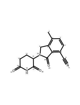 Cc1ccc(C#N)c2c1CN(C1CCC(=O)NC1=O)C2=O